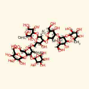 CC(=O)NC1C(OC2C(C)C(OC(C(O)CO)C(O)C(O)C=O)OC(COC3OC(CO)C(OC4OC(CO)C(O)C(O)C4O)C(OC4OC(O)C(O)C(O)C4O)C3NC(C)=O)C2O)OC(CO)C(O)C1OC1OC(CO)C(O)C(O)C1OC1OC(C)C(O)C(O)C1O